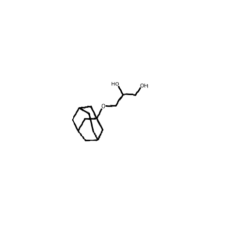 OCC(O)COC12CC3CC(CC(C3)C1)C2